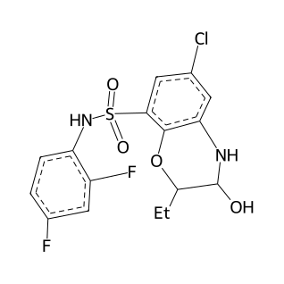 CCC1Oc2c(cc(Cl)cc2S(=O)(=O)Nc2ccc(F)cc2F)NC1O